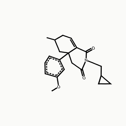 COc1cccc(C23CC(=O)N(CC4CC4)C(=O)C2=CCC(C)C3)c1